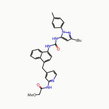 COCC(=O)Nc1cc(Cc2ccc(NC(=O)Nc3cc(C(C)(C)C)nn3-c3ccc(C)cc3)c3ccccc23)ccn1